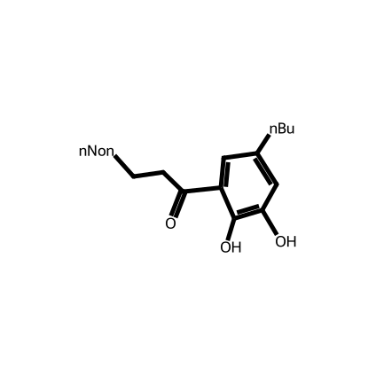 CCCCCCCCCCCC(=O)c1cc(CCCC)cc(O)c1O